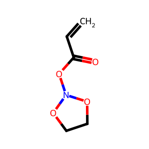 C=CC(=O)ON1OCCO1